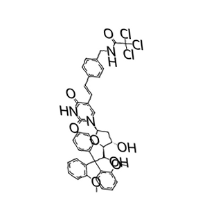 COc1ccccc1C(c1ccccc1)(c1ccccc1OC)C(O)[C@H]1O[C@@H](n2cc(/C=C/c3ccc(CNC(=O)C(Cl)(Cl)Cl)cc3)c(=O)[nH]c2=O)C[C@@H]1O